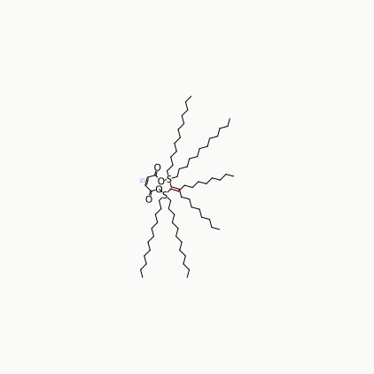 CCCCCCCCCCCCS(CCCCCCCCCC)(CCCCCCCCCCCC)OC(=O)/C=C\C(=O)OS(CCCCCCCCCC)(CCCCCCCCCCCC)CCCCCCCCCCCC